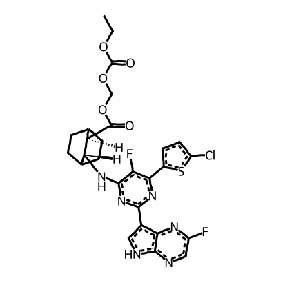 CCOC(=O)OCOC(=O)[C@@H]1C2CCC(CC2)[C@H]1Nc1nc(-c2c[nH]c3ncc(F)nc23)nc(-c2ccc(Cl)s2)c1F